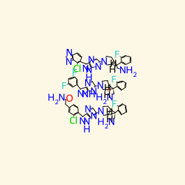 Cn1cnc2c(Cl)c(-c3n[nH]c4nc(N5CC[C@@H]6[C@H](C5)[C@@]6(CN)c5ccccc5F)cnc34)ccc21.NC[C@]1(c2ccccc2F)[C@@H]2CCN(c3cnc4c(-c5cc(F)cc(F)c5)n[nH]c4n3)C[C@@H]21.NC[C@]1(c2ccccc2F)[C@@H]2CCN(c3cnc4c(-c5ccc(CC(N)=O)cc5Cl)n[nH]c4n3)C[C@@H]21